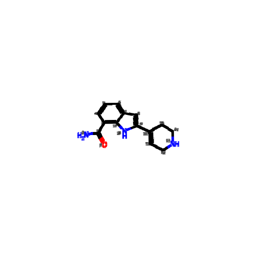 NC(=O)c1cccc2cc(C3=CCNCC3)[nH]c12